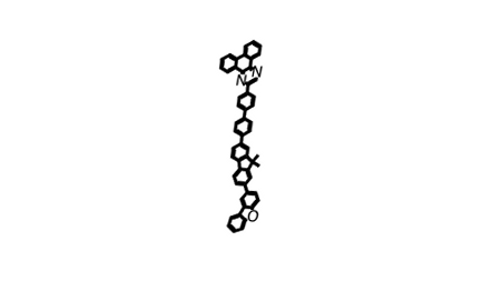 CC1(C)c2cc(-c3ccc(-c4ccc(-c5cnc6c7ccccc7c7ccccc7c6n5)cc4)cc3)ccc2-c2ccc(-c3ccc4oc5ccccc5c4c3)cc21